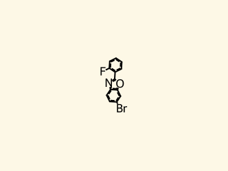 Fc1ccccc1-c1nc2ccc(Br)cc2o1